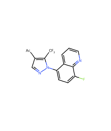 CC(=O)c1cnn(-c2ccc(F)c3ncccc23)c1C(F)(F)F